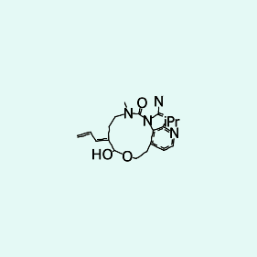 C=C/C=C1\CCN(C)C(=O)N(C(=C)N=C)c2c(ccnc2C(C)C)CCOC1O